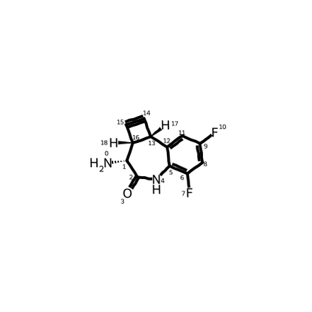 N[C@H]1C(=O)Nc2c(F)cc(F)cc2[C@H]2C#C[C@H]21